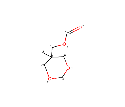 CC1(COC=O)COCOC1